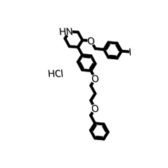 Cl.Ic1ccc(COC2CNCCC2c2ccc(OCCCOCc3ccccc3)cc2)cc1